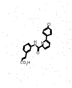 O=C(O)C=Cc1cccc(NC(=O)c2cccc(-c3ccc(Cl)cc3)n2)c1